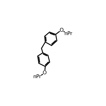 CCCOc1ccc(Cc2ccc(OCCC)cc2)cc1